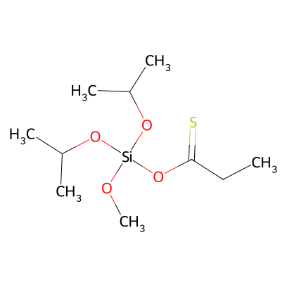 CCC(=S)O[Si](OC)(OC(C)C)OC(C)C